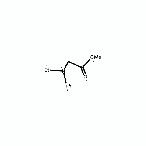 CCN(CC(=O)OC)C(C)C